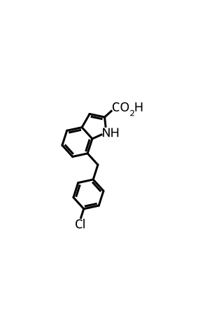 O=C(O)c1cc2cccc(Cc3ccc(Cl)cc3)c2[nH]1